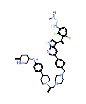 C=C1CCC(Nc2ccc(C3CCN(C(=C)CN4CCN(Cc5ccc(-c6cnc7[nH]cc(C(=C)c8c(F)ccc(NSN(C)CC)c8F)c7c6)cc5)CC4)CC3)cc2)CN1